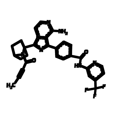 CC#CC(=O)N1C2CCC1(c1nc(-c3ccc(C(=O)Nc4cc(C(F)(F)F)ccn4)cc3)c3c(N)nccn13)CC2